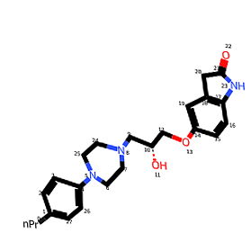 CCCc1ccc(N2CCN(C[C@@H](O)COc3ccc4c(c3)CC(=O)N4)CC2)cc1